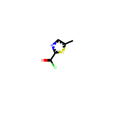 Cc1cnc(C(=O)Cl)s1